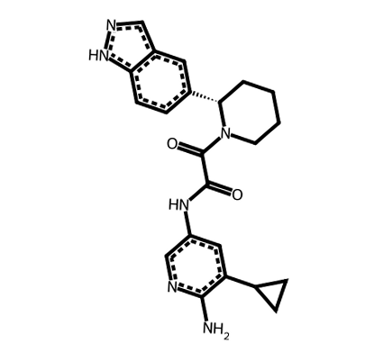 Nc1ncc(NC(=O)C(=O)N2CCCC[C@H]2c2ccc3[nH]ncc3c2)cc1C1CC1